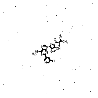 CNc1nc(-c2cncc(Cl)c2)nc2c1ncn2[C@@H]1O[C@H](C(=O)NC(C)C)[C@@H](O)[C@H]1O